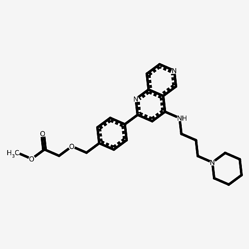 COC(=O)COCc1ccc(-c2cc(NCCCN3CCCCC3)c3cnccc3n2)cc1